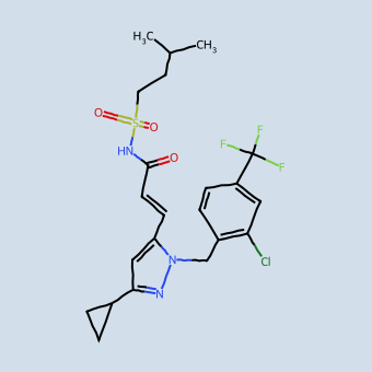 CC(C)CCS(=O)(=O)NC(=O)C=Cc1cc(C2CC2)nn1Cc1ccc(C(F)(F)F)cc1Cl